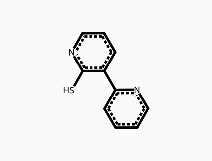 Sc1ncccc1-c1ccccn1